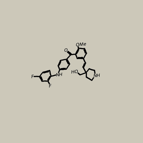 COc1ccc(C=CC2(CO)CCNCC2)cc1C(=O)c1ccc(Nc2ccc(F)cc2F)cc1